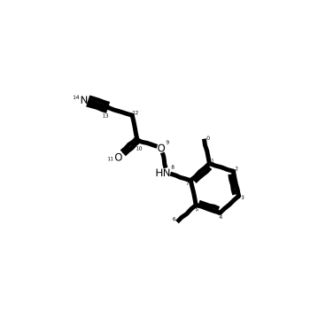 Cc1cccc(C)c1NOC(=O)CC#N